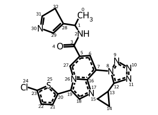 CC(NC(=O)c1cc(-n2nnnc2C2CC2)c2ncc(-c3ccc(Cl)s3)n2c1)C1=CN=CC1